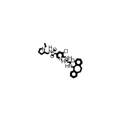 CCN1CCCC1CNS(=O)(=O)c1cnc(NNC(=O)NC2c3ccccc3CCc3ccccc32)c(Cl)c1